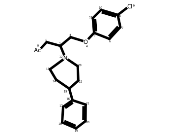 CC(=O)CC(COc1ccc(Cl)cc1)N1CCC(c2ccccc2)CC1